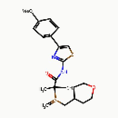 C=S(CC1CCOCC1)C(C)(C)C(=O)Nc1nc(-c2ccc(OC)cc2)cs1